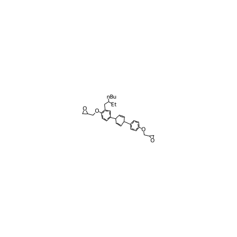 CCCCC(CC)Cc1cc(C2C=CC(c3ccc(OCC4CO4)cc3)C=C2)ccc1OCC1CO1